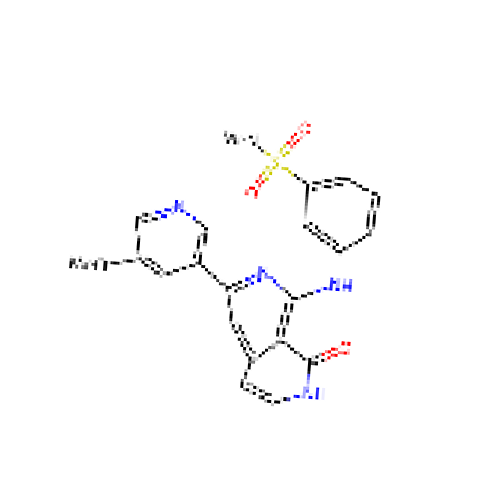 CNS(=O)(=O)c1cccc(Nc2nc(-c3cncc(OC)c3)cc3cc[nH]c(=O)c23)c1